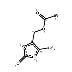 CC(C)C(=O)OCc1oc(=O)oc1N